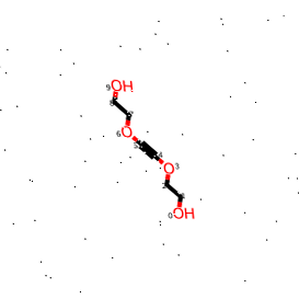 OCCOC#COCCO